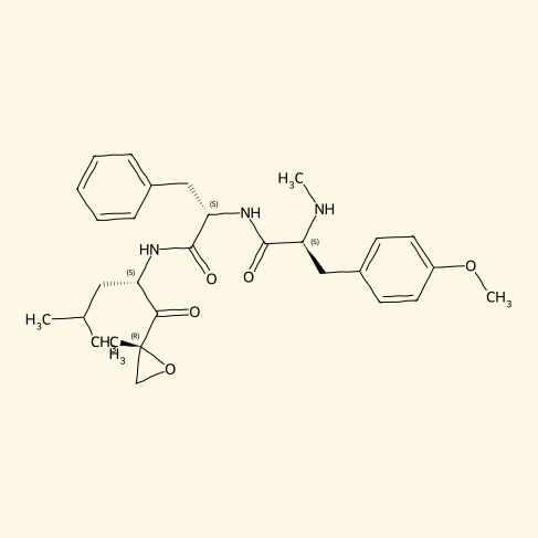 CN[C@@H](Cc1ccc(OC)cc1)C(=O)N[C@@H](Cc1ccccc1)C(=O)N[C@@H](CC(C)C)C(=O)[C@@]1(C)CO1